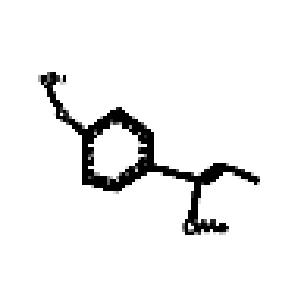 CC=C(OC)c1ccc(OCCCC)cc1